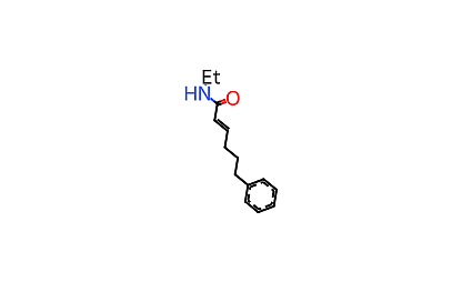 CCNC(=O)C=CCCCc1ccccc1